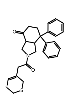 O=C1CCC(c2ccccc2)(c2ccccc2)C2CN(C(=O)CC3=CSCSC3)CC12